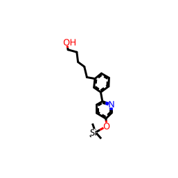 C[Si](C)(C)Oc1ccc(-c2cccc(CCCCCO)c2)nc1